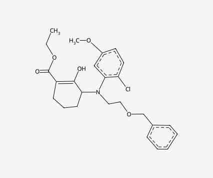 CCOC(=O)C1=C(O)C(N(CCOCc2ccccc2)c2cc(OC)ccc2Cl)CCC1